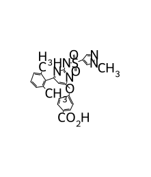 Cc1cccc(C)c1-c1cc(Oc2ccc(C(=O)O)cc2)nc(NS(=O)(=O)c2cnn(C)c2)n1